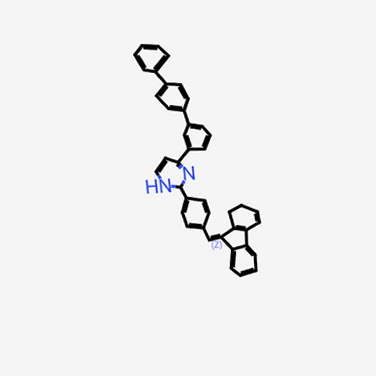 C1=CC2=C(CC1)/C(=C\c1ccc(C3N=C(c4cccc(-c5ccc(-c6ccccc6)cc5)c4)C=CN3)cc1)c1ccccc12